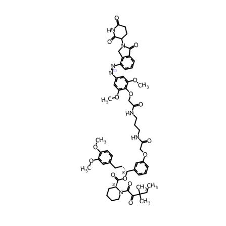 CCC(C)(C)C(=O)C(=O)N1CCCC[C@H]1C(=O)O[C@H](CCc1ccc(OC)c(OC)c1)c1cccc(OCC(=O)NCCCNC(=O)COc2c(OC)cc(/N=N\c3cccc4c3CN(C3CCC(=O)NC3=O)C4=O)cc2OC)c1